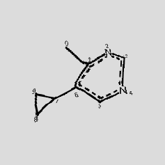 Cc1n[c]ncc1C1CC1